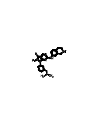 CC(C)n1c(=O)c2cnc(Nc3ccc4c(c3)CNCC4)nc2n1-c1cccc(CN(C)C)c1